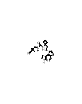 CC(C)(C#N)CNC(=O)NC1(CCn2cnc3cnc4[nH]ccc4c32)CCC1